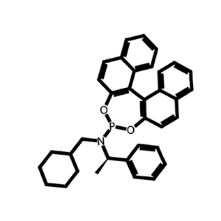 C[C@H](c1ccccc1)N(CC1CCCCC1)p1oc2ccc3ccccc3c2c2c(ccc3ccccc32)o1